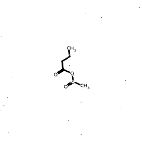 CCCC(=O)OS(C)=O